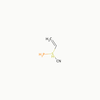 C=C[SH](P)C#N